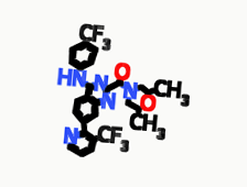 CC1CN(C(=O)c2nc(Nc3ccc(C(F)(F)F)cc3)c3ccc(-c4ncccc4C(F)(F)F)cc3n2)CC(C)O1